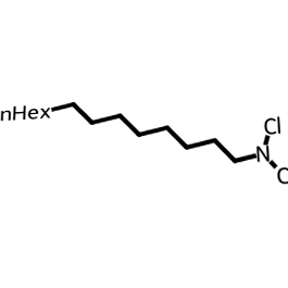 CCCCCCCCCCCCCCN(Cl)Cl